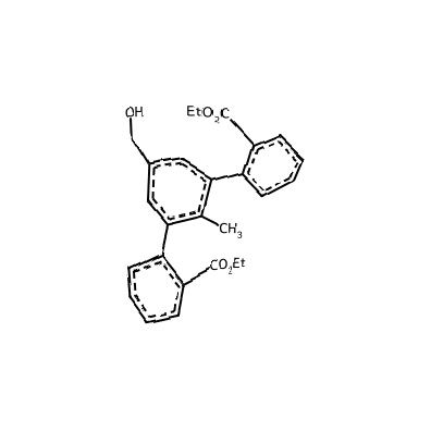 CCOC(=O)c1ccccc1-c1cc(CO)cc(-c2ccccc2C(=O)OCC)c1C